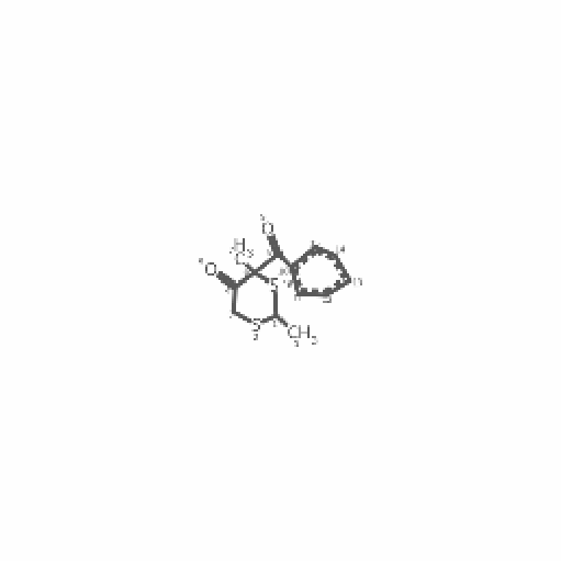 CC1SCC(=O)C(C)(C(=O)c2ccccc2)S1